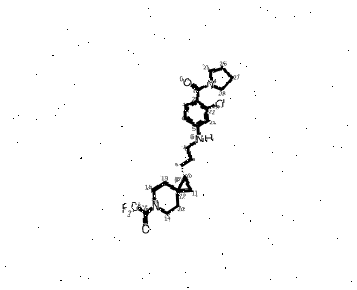 O=C(c1ccc(NCCC[C@@H]2CC23CCN(C(=O)C(F)(F)F)CC3)cc1Cl)N1CCCC1